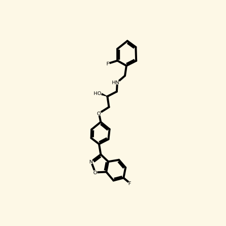 O[C@@H](CNCc1ccccc1F)COc1ccc(-c2noc3cc(F)ccc23)cc1